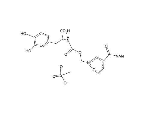 CNC(=O)c1ccc[n+](COC(=O)NC(Cc2ccc(O)c(O)c2)C(=O)O)c1.CS(=O)(=O)[O-]